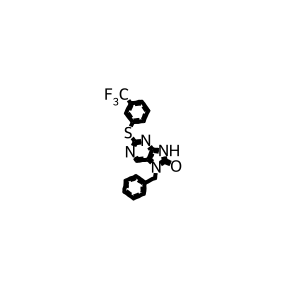 O=c1[nH]c2nc(Sc3cccc(C(F)(F)F)c3)ncc2n1Cc1ccccc1